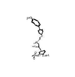 CS(=O)(=O)Nc1cc([C@@H](O)CNCCOc2ccc(-c3ccc(O)cc3)cc2)ccc1O